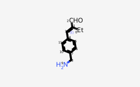 CC/C(C=O)=C\c1ccc(CN)cc1